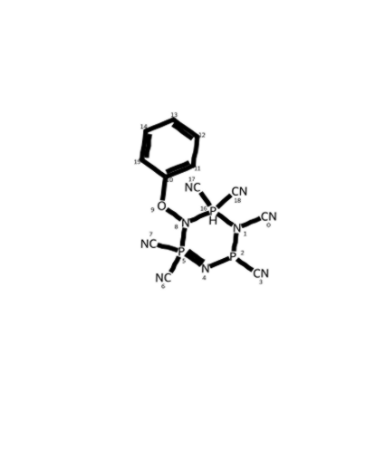 N#CN1P(C#N)N=P(C#N)(C#N)N(Oc2ccccc2)[PH]1(C#N)C#N